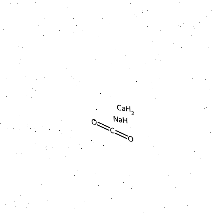 O=C=O.[CaH2].[NaH]